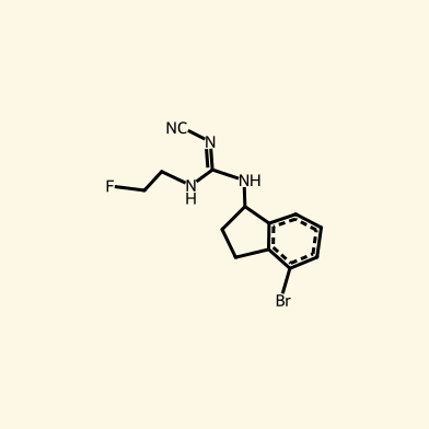 N#CN=C(NCCF)NC1CCc2c(Br)cccc21